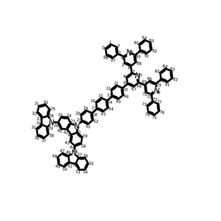 c1ccc(-c2cc(-c3cc(-c4ccc(-c5ccc(-c6ccc(-n7c8ccc(-n9c%10ccccc%10c%10ccccc%109)cc8c8cc(-n9c%10ccccc%10c%10ccccc%109)ccc87)cc6)cc5)cc4)cc(-c4cc(-c5ccccc5)nc(-c5ccccc5)c4)n3)cc(-c3ccccc3)n2)cc1